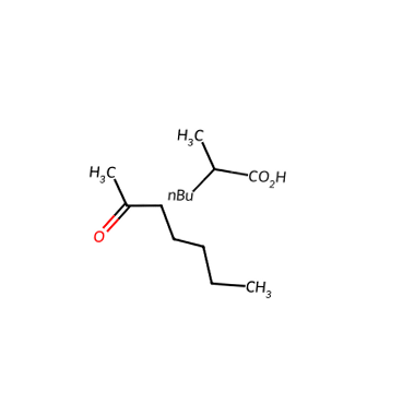 CCCCC(C)C(=O)O.CCCCCC(C)=O